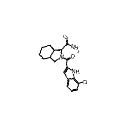 NC(=O)C1C2CCCCC2CN1C(=O)c1cc2cccc(Cl)c2[nH]1